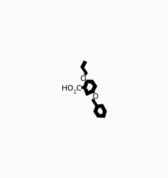 C=CCOc1ccc(OCc2ccccc2)cc1C(=O)O